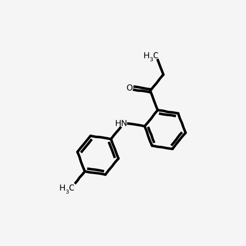 CCC(=O)c1ccccc1Nc1ccc(C)cc1